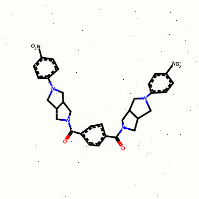 O=C(c1ccc(C(=O)N2CC3CN(c4ccc([N+](=O)[O-])cc4)CC3C2)cc1)N1CC2CN(c3ccc([N+](=O)[O-])cc3)CC2C1